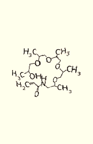 C=CC(=O)NCC(C)OCC(C)OCC(C)OCC(C)OCC(C)O